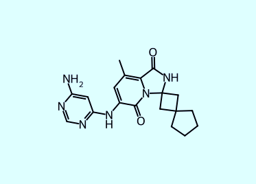 Cc1cc(Nc2cc(N)ncn2)c(=O)n2c1C(=O)NC21CC2(CCCC2)C1